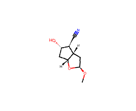 CO[C@@H]1C[C@H]2[C@H](C#N)[C@@H](O)C[C@H]2O1